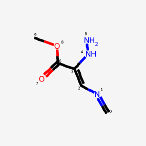 C=N/C=C(\NN)C(=O)OC